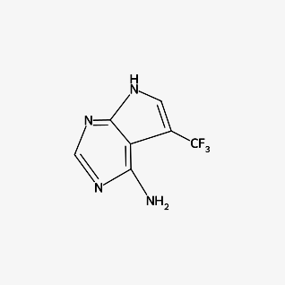 Nc1ncnc2[nH]cc(C(F)(F)F)c12